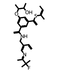 C=C/C(=C\N=C(/C)C(C)(C)F)CNC(=C)c1cc(OC(C)C(C)O)cc(C(=C)S/C(C)=C\C)c1